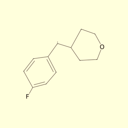 Fc1ccc([CH]C2CCOCC2)cc1